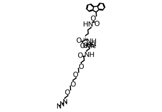 COC(=O)[C@H](CCCCNC(=O)OCC1c2ccccc2-c2ccccc21)NS(=O)(=O)CCNC(=O)CCOCCOCCOCCOCCN=[N+]=[N-]